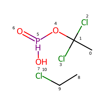 CC(Cl)(Cl)O[PH](=O)O.CCCl